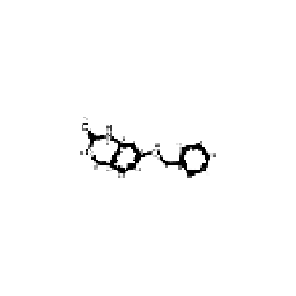 O=C1Nc2cc(OCc3ccccc3)ccc2CO1